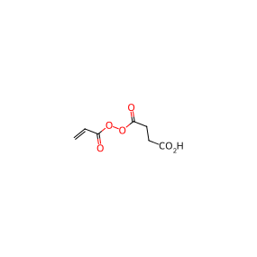 C=CC(=O)OOC(=O)CCC(=O)O